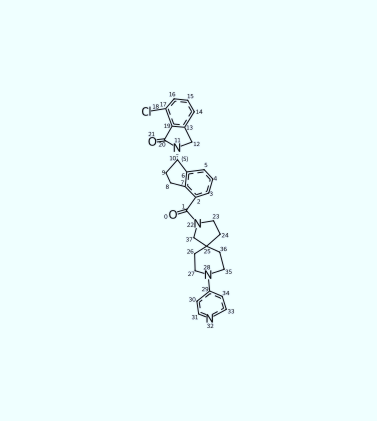 O=C(c1cccc2c1CC[C@@H]2N1Cc2cccc(Cl)c2C1=O)N1CCC2(CCN(c3ccncc3)CC2)C1